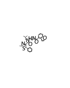 Cc1nc(C(=O)N(CCNC(=O)c2cccc3occc23)CC(C)C)c(-c2ccccc2)s1